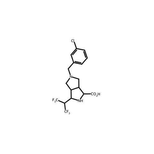 O=C(O)C1NC(C(C(F)(F)F)C(F)(F)F)C2CN(Cc3cccc(Cl)c3)CC12